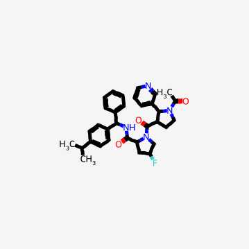 CC(=O)N1CCC(C(=O)N2CC(F)CC2C(=O)NC(c2ccccc2)c2ccc(C(C)C)cc2)C1c1cccnc1